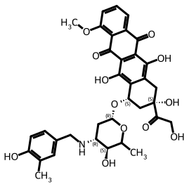 COc1cccc2c1C(=O)c1c(O)c3c(c(O)c1C2=O)C[C@@](O)(C(=O)CO)C[C@@H]3O[C@H]1C[C@@H](NCc2ccc(O)c(C)c2)[C@H](O)C(C)O1